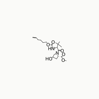 C=CCCCCOC(=O)N[C@H](C(=O)N1C[C@H](O)C[C@H]1C(=O)OC)C(C)(C)C